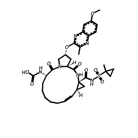 COc1ccc2nc(C)c(O[C@@H]3C[C@H]4C(=O)N[C@]5(C(=O)NS(=O)(=O)C6(C)CC6)C[C@H]5/C=C\CCCCC[C@H](NC(=O)O)C(=O)N4C3)nc2c1